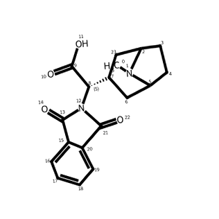 CN1C2CCC1CC([C@@H](C(=O)O)N1C(=O)c3ccccc3C1=O)C2